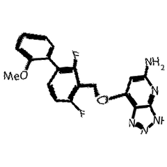 COc1ccccc1-c1ccc(F)c(COc2cc(N)nc3[nH]nnc23)c1F